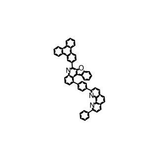 c1ccc(-c2ccc3ccc4ccc(-c5ccc(-c6cccc7nc(-c8ccc9c%10ccccc%10c%10ccccc%10c9c8)c8oc9ccccc9c8c67)cc5)nc4c3n2)cc1